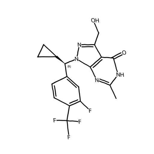 Cc1nc2c(c(CO)nn2[C@@H](c2ccc(C(F)(F)F)c(F)c2)C2CC2)c(=O)[nH]1